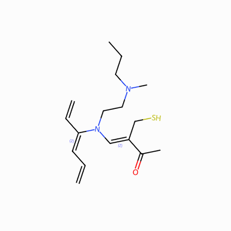 C=C/C=C(/C=C)N(/C=C(\CS)C(C)=O)CCN(C)CCC